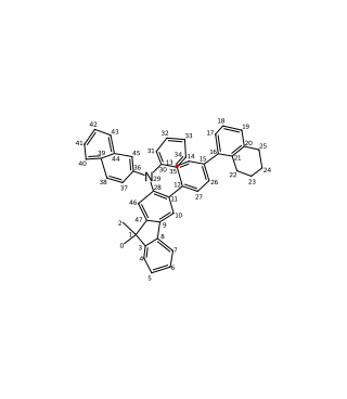 CC1(C)c2ccccc2-c2cc(-c3ccc(-c4cccc5c4CCCC5)cc3)c(N(c3ccccc3)c3ccc4ccccc4c3)cc21